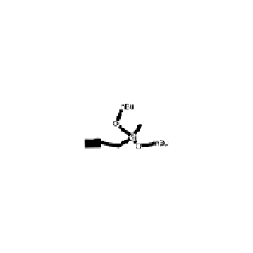 C#CC[Si](C)(OCCCC)OCCCC